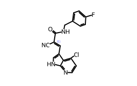 N#C/C(=C\c1c[nH]c2nccc(Cl)c12)C(=O)NCc1ccc(F)cc1